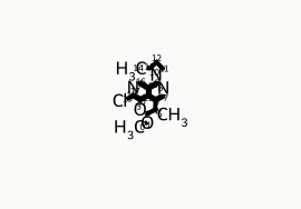 COC(=O)C(C)c1cnc(N2CCC2C)c2cnc(Cl)cc12